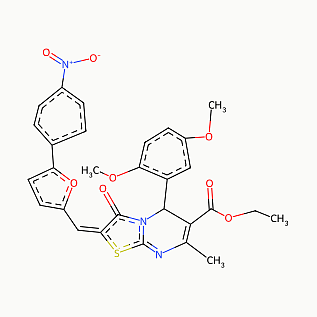 CCOC(=O)C1=C(C)N=c2s/c(=C/c3ccc(-c4ccc([N+](=O)[O-])cc4)o3)c(=O)n2C1c1cc(OC)ccc1OC